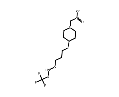 O=[N+]([O-])CN1CCN(SCCCSNSC(F)(F)F)CC1